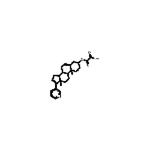 CC12CCC(OC(=O)C(=O)O)CC1=CCC1C2CCC2(C)C(c3cccnc3)=CCC12